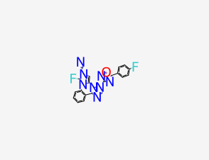 N#CN1C=C2N(c3ccccc3C3N=CN(c4noc(-c5ccc(F)cc5)n4)N23)C1F